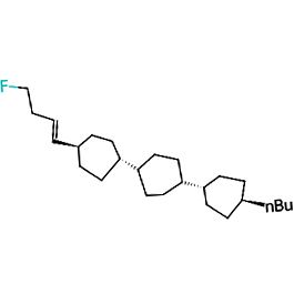 CCCC[C@H]1CC[C@H](C2CCC([C@H]3CC[C@H](/C=C/CCF)CC3)CC2)CC1